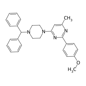 COc1ccc(-c2nc(C)cc(N3CCN(C(c4ccccc4)c4ccccc4)CC3)n2)cc1